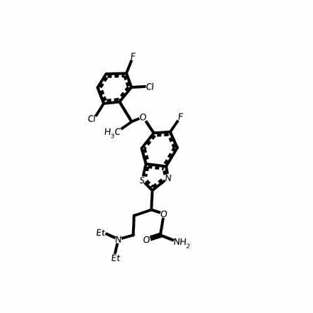 CCN(CC)CCC(OC(N)=O)c1nc2cc(F)c(OC(C)c3c(Cl)ccc(F)c3Cl)cc2s1